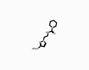 CCCCCc1ccn(CCNC(=O)N2CCCCC2)n1